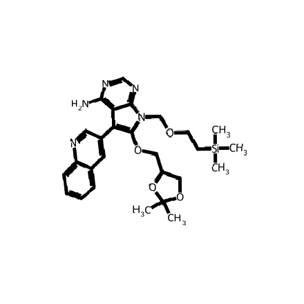 CC1(C)OCC(COc2c(-c3cnc4ccccc4c3)c3c(N)ncnc3n2COCC[Si](C)(C)C)O1